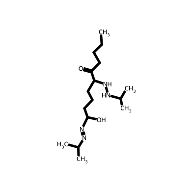 CCCCC(=O)C(CCCC(O)N=NC(C)C)NNC(C)C